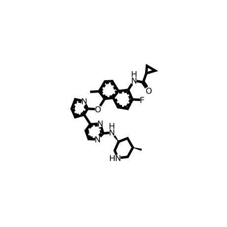 Cc1ccc2c(NC(=O)C3CC3)c(F)ccc2c1Oc1ncccc1-c1ccnc(N[C@@H]2CNC[C@H](C)C2)n1